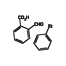 CCc1ccccc1.O=Cc1ccccc1C(=O)O